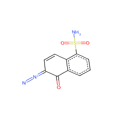 [N-]=[N+]=C1C=Cc2c(cccc2S(N)(=O)=O)C1=O